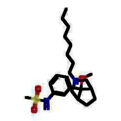 CCCCCCCCN1CC2CCC(C1)C2(OC)c1cccc(NS(C)(=O)=O)c1